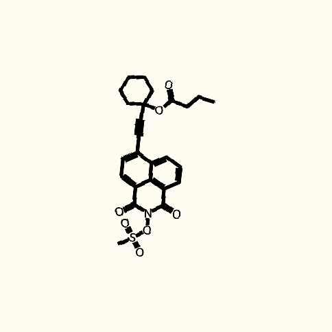 CCCC(=O)OC1(C#Cc2ccc3c4c(cccc24)C(=O)N(OS(C)(=O)=O)C3=O)CCCCC1